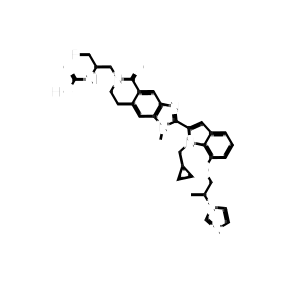 CC(COc1cccc2cc(-c3nc4cc5c(cc4n3C)CCN(CC(CF)NC(=O)O)C5=O)n(CC3CC3)c12)n1ccnc1